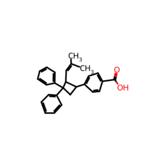 CC(C)=CC1C(c2ccc(C(=O)O)cc2)CC1(c1ccccc1)c1ccccc1